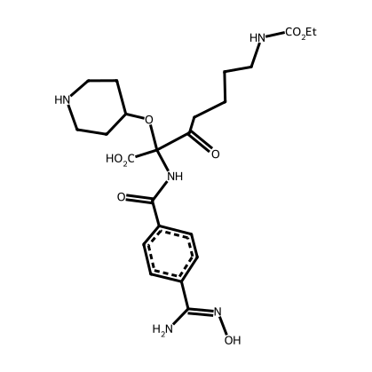 CCOC(=O)NCCCCC(=O)C(NC(=O)c1ccc(C(N)=NO)cc1)(OC1CCNCC1)C(=O)O